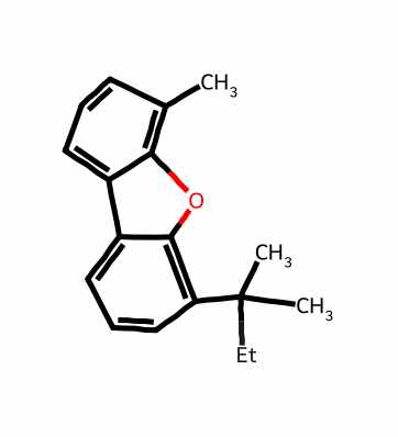 CCC(C)(C)c1cccc2c1oc1c(C)cccc12